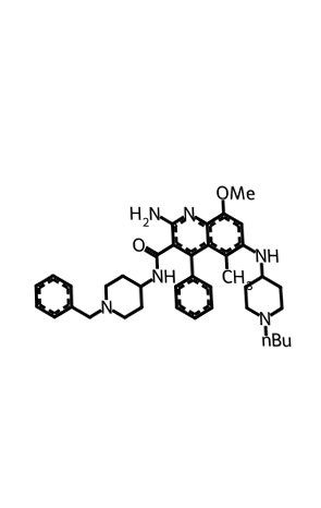 CCCCN1CCC(Nc2cc(OC)c3nc(N)c(C(=O)NC4CCN(Cc5ccccc5)CC4)c(-c4ccccc4)c3c2C)CC1